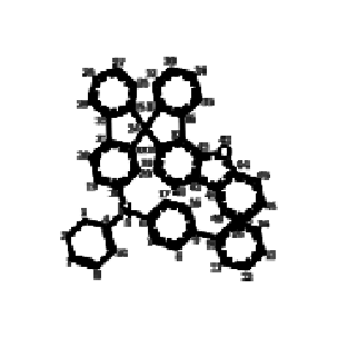 C1=CCCC(N(c2ccc(-c3ccccc3)cc2)c2ccc3c(c2)C2(c4ccccc4-3)c3ccccc3-c3c2ccc2c3oc3ccccc32)=C1